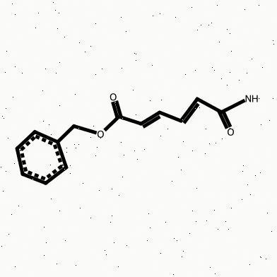 [NH]C(=O)/C=C/C=C/C(=O)OCc1ccccc1